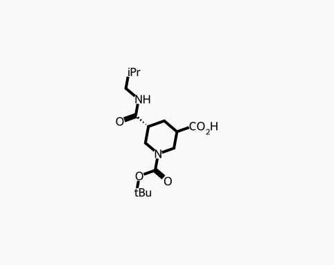 CC(C)CNC(=O)[C@@H]1CC(C(=O)O)CN(C(=O)OC(C)(C)C)C1